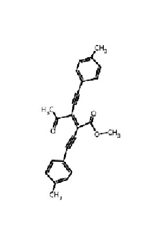 COC(=O)/C(C#Cc1ccc(C)cc1)=C(\C#Cc1ccc(C)cc1)C(C)=O